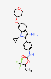 CC(OC(=O)Nc1ccc(-c2c(N)c3ccc(OC4CCOCC4)cc3n2C2CC2)cc1)C(F)(F)F